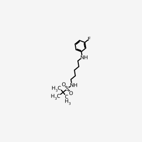 CC(C)(C)S(=O)(=O)NCCCCCNc1cccc(F)c1